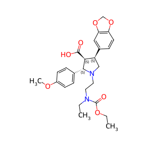 CCOC(=O)N(CC)CCN1C[C@H](c2ccc3c(c2)OCO3)[C@H](C(=O)O)[C@H]1c1ccc(OC)cc1